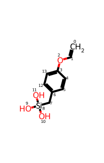 C=COc1ccc(C[Si](O)(O)O)cc1